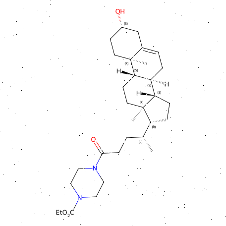 CCOC(=O)N1CCN(C(=O)CC[C@@H](C)[C@H]2CC[C@H]3[C@@H]4CC=C5C[C@@H](O)CC[C@]5(C)[C@H]4CC[C@]23C)CC1